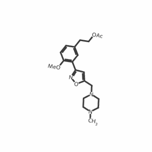 COc1ccc(CCOC(C)=O)cc1-c1cc(CN2CCN(C)CC2)on1